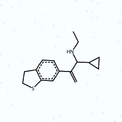 C=C(c1ccc2c(c1)SCC2)C(NCC)C1CC1